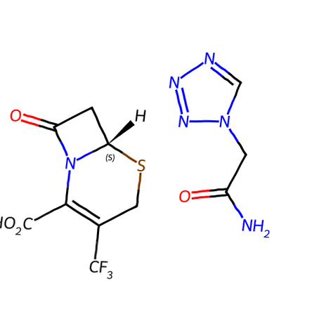 NC(=O)Cn1cnnn1.O=C(O)C1=C(C(F)(F)F)CS[C@H]2CC(=O)N12